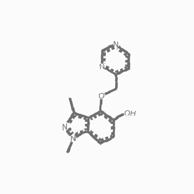 Cc1nn(C)c2ccc(O)c(OCc3ccncn3)c12